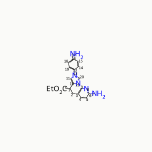 CCOC(=O)C(Cc1ccc(N)nc1)c1cn(-c2ccc(N)cc2)cn1